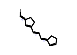 I/C=C1C=C(/C=C/C=C2/C=CCC2)CC/1